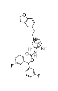 O=C(N[C@H]1C[N+]2(CCc3ccc4c(c3)CCO4)CCC1CC2)OC(c1cccc(F)c1)c1cccc(F)c1.[Br-]